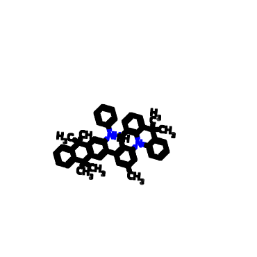 Cc1cc(-c2cc3c(cc2Nc2ccccc2)C(C)(C)c2ccccc2C3(C)C)c2c(c1)N1c3ccccc3C(C)(C)c3cccc(c31)B2